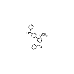 COc1ccc(C(=O)c2ccccc2)cc1-c1ccc(C(=O)c2ccccc2)cc1